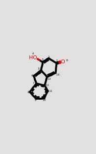 O=C1C=C(O)C2=Cc3ccccc3C2=C1